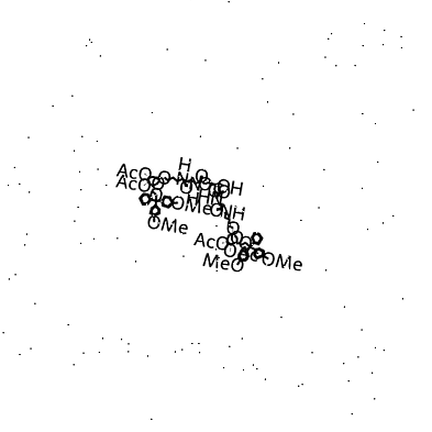 COc1ccc(C(OC[C@H]2O[C@@H](OCCCNC(=O)CNC(=O)OCC(CO)OC(=O)NCC(=O)NCCCO[C@H]3C[C@@H](OC(C)=O)[C@@H](OC(C)=O)[C@@H](COC(c4ccccc4)(c4ccc(OC)cc4)c4ccc(OC)cc4)O3)C[C@@H](OC(C)=O)[C@H]2OC(C)=O)(c2ccccc2)c2ccc(OC)cc2)cc1